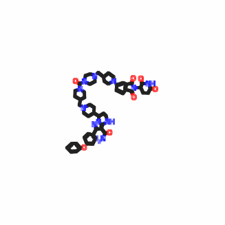 NC(=O)c1c(-c2ccc(Oc3ccccc3)cc2)nn2c1NCCC2C1CCN(CC2CCN(C(=O)N3CCN(CC4CCN(c5ccc6c(c5)C(=O)N(C5CCC(=O)NC5=O)C6=O)CC4)CC3)CC2)CC1